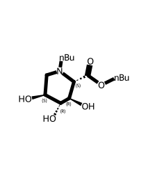 CCCCOC(=O)[C@@H]1[C@@H](O)[C@H](O)[C@@H](O)CN1CCCC